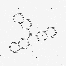 c1ccc2c[c]([Bi]([c]3ccc4ccccc4c3)[c]3ccc4ccccc4c3)ccc2c1